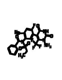 CCS(=O)(=O)N(C(=O)c1ccccc1)c1cc(-c2c(C(F)(F)F)n(N)c(=O)[nH]c2=O)c(F)cc1C#N